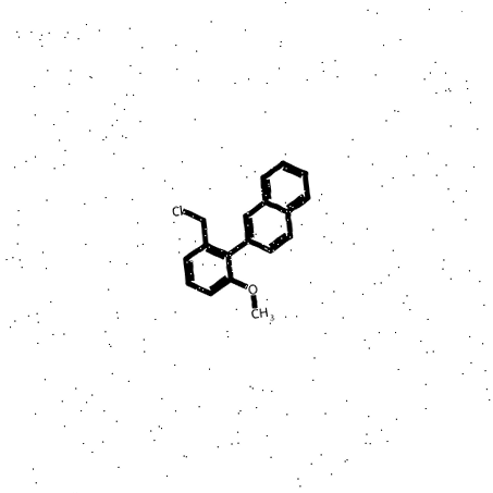 COc1cccc(CCl)c1-c1ccc2ccccc2c1